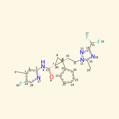 Cc1cc(NC(=O)[C@@H]2C[C@@]2(CCn2nc(C(F)F)nc2C)c2ccccc2)ncc1F